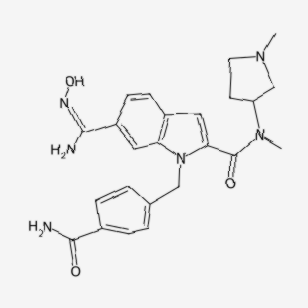 CN1CCC(N(C)C(=O)c2cc3ccc(/C(N)=N\O)cc3n2Cc2ccc(C(N)=O)cc2)C1